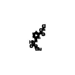 CC(C)(C)OC(=O)NCc1cccc(C(=O)OCCl)c1